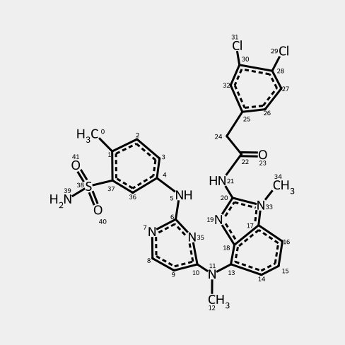 Cc1ccc(Nc2nccc(N(C)c3cccc4c3nc(NC(=O)Cc3ccc(Cl)c(Cl)c3)n4C)n2)cc1S(N)(=O)=O